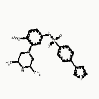 COc1ccc(NS(=O)(=O)c2ccc(-c3ccoc3)cc2)cc1N1CC(C)NC(C)C1